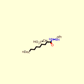 CC(=O)O.CCCCCCCCCCCCCCCCCC(=O)NNCCC